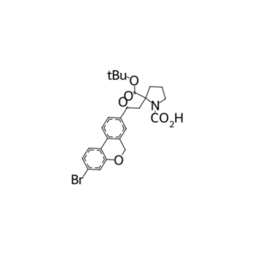 CC(C)(C)OC(=O)C1(CC(=O)c2ccc3c(c2)COc2cc(Br)ccc2-3)CCCN1C(=O)O